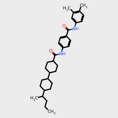 CCCC(C)C1CCC(C2CCC(C(=O)Nc3ccc(C(=O)Nc4ccc(C)c(C)c4)cc3)CC2)CC1